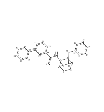 S=C(NC1C2CCN(CC2)C1Cc1cccnc1)c1cccc(-c2ccccc2)c1